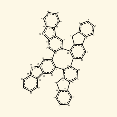 c1ccc2c(c1)Cc1c-2ccc2c1-c1cc3c(cc1-c1cc4sc5ccccc5c4cc1-c1c-2ccc2c1Cc1ccccc1-2)sc1ccccc13